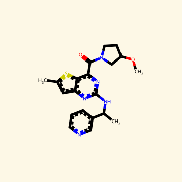 COC1CCN(C(=O)c2nc(NC(C)c3cccnc3)nc3cc(C)sc23)C1